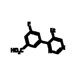 CCc1cncnc1-c1cc(F)cc(C(=O)O)c1